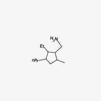 CCCC1CC(C)C(CN)C1CC